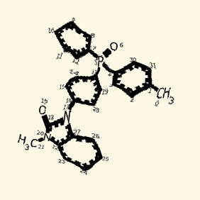 Cc1ccc(P(=O)(c2ccccc2)c2ccc(-n3c(=O)n(C)c4ccccc43)cc2)cc1